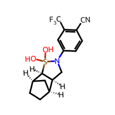 N#Cc1ccc(N2C[C@H]3[C@H]4CC[C@H](C4)[C@H]3S2(O)O)cc1C(F)(F)F